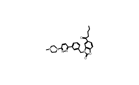 CCCCC(=O)c1ccc2oc(=O)n(Cc3cccc(-c4ccc(N5CCN(C)CC5)nn4)c3)c2c1